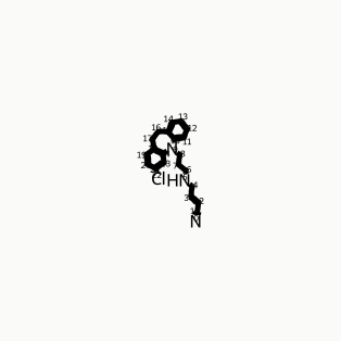 N#C/C=C/CNCCCN1c2ccccc2CCc2ccc(Cl)cc21